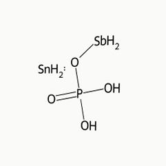 O=P(O)(O)[O][SbH2].[SnH2]